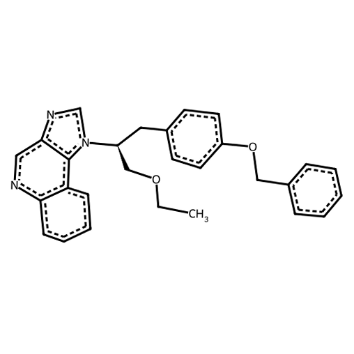 CCOC[C@H](Cc1ccc(OCc2ccccc2)cc1)n1cnc2cnc3ccccc3c21